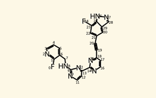 Fc1ncccc1CNc1nccc(-c2nccc(C#Cc3cc(F)c4[nH]ncc4c3)n2)n1